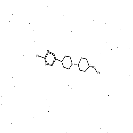 CC(C)O[C@H]1CC[C@H](N2CCC(c3cnc(C(C)C)nc3)CC2)CC1